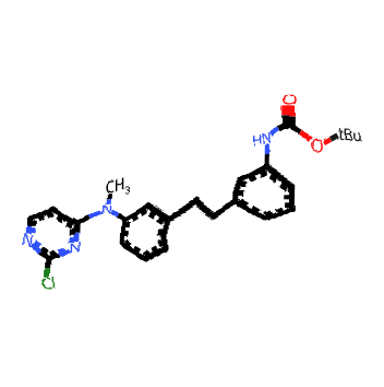 CN(c1cccc(CCc2cccc(NC(=O)OC(C)(C)C)c2)c1)c1ccnc(Cl)n1